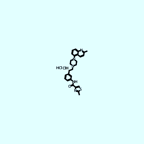 Cc1ccc2c(N3CCN(CCc4cccc(NC(=O)c5csc(C)n5)c4)CC3)cccc2n1.Cl.Cl